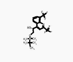 CC(C)(C)[Si](C)(C)OC[C@H](O)c1cc(C(F)(F)F)nc2c(C(F)(F)F)cccc12